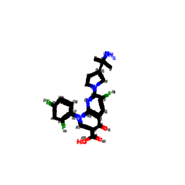 CC(C)(N)[C@@H]1CCN(c2nc3c(cc2F)c(=O)c(C(=O)O)cn3-c2ccc(F)cc2F)C1